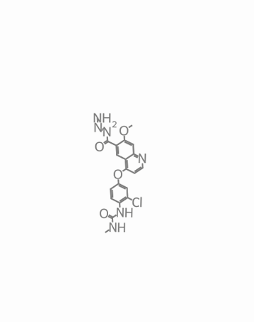 CNC(=O)Nc1ccc(Oc2ccnc3cc(OC)c(C(=O)N=NN)cc23)cc1Cl